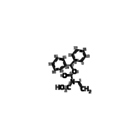 C=CN(C(=O)O)C(=O)OC(c1ccccc1)c1ccccc1